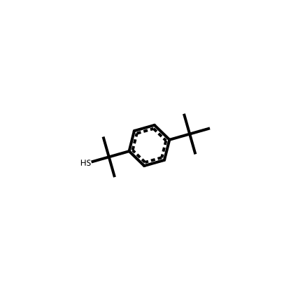 CC(C)(C)c1ccc(C(C)(C)S)cc1